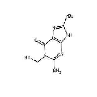 CCCCc1nc2c(=O)n(CO)c(N)nc2[nH]1